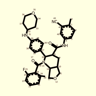 Cc1ccc(NC(=O)C2CC3COCC3N(C(=O)c3c(C)cccc3F)C2c2ccc(NC3CCOCC3)cc2)cc1C#N